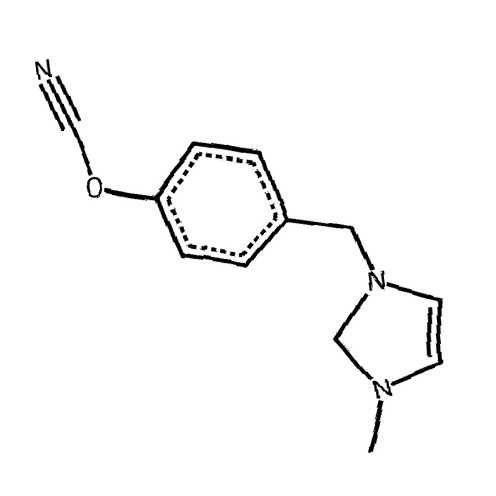 CN1C=CN(Cc2ccc(OC#N)cc2)C1